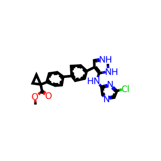 CN/C(Nc1cncc(Cl)n1)=C(\C=N)c1ccc(-c2ccc(C3(C(=O)OC)CC3)cc2)cc1